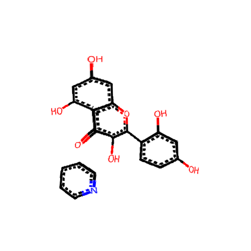 O=c1c(O)c(-c2ccc(O)cc2O)oc2cc(O)cc(O)c12.c1ccncc1